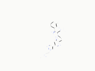 CNCCn1cc(-c2cnc3ccc(/C(=C/N)C(=N)c4cc(Cl)ccc4F)nc3c2)cn1